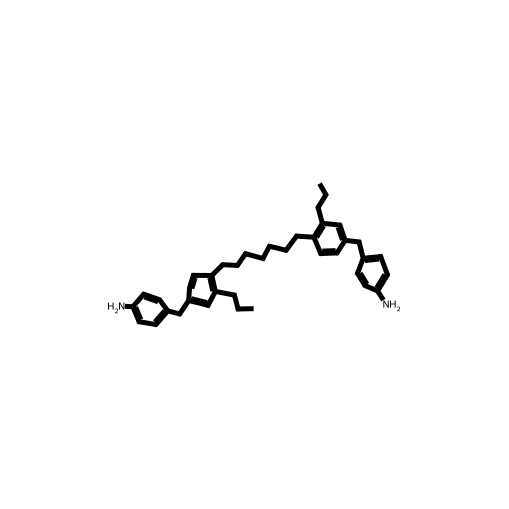 CCCc1cc(Cc2ccc(N)cc2)ccc1CCCCCCCc1ccc(Cc2ccc(N)cc2)cc1CCC